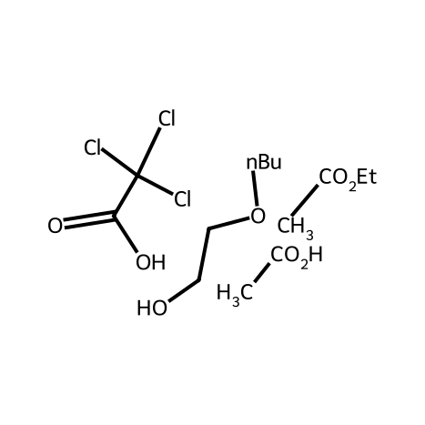 CC(=O)O.CCCCOCCO.CCOC(C)=O.O=C(O)C(Cl)(Cl)Cl